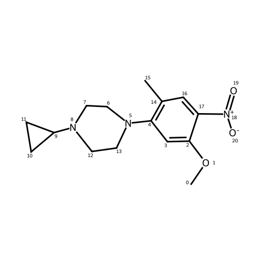 COc1cc(N2CCN(C3CC3)CC2)c(C)cc1[N+](=O)[O-]